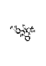 Nc1cc(-c2[nH]c3c(c2Nc2ccccc2)C(=O)NC2(CC2)C3)ccn1